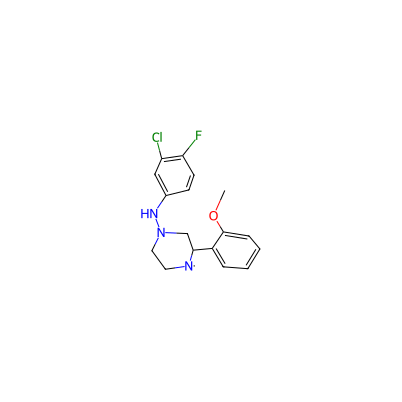 COc1ccccc1C1CN(Nc2ccc(F)c(Cl)c2)CC[N]1